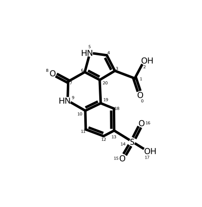 O=C(O)c1c[nH]c2c(=O)[nH]c3ccc(S(=O)(=O)O)cc3c12